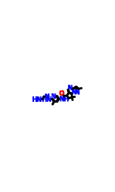 Cc1cc2ncc3c(n2n1)C(C)(C)CC3C(=O)Nc1cnc(N/N=C\C=N)c(C)c1